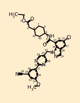 CCOC(=O)CC1CCC(NC(=O)c2cc(Cl)cc3cnn(Cc4cnc(-c5cc(C#N)cc(OC)c5)nc4)c23)CC1